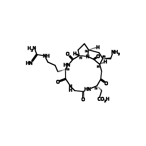 N=C(N)NCCC[C@@H]1NC(=O)[C@@H]2CC[C@H]3C[C@@H](CN)[C@@H](CC(=O)[C@H](CC(=O)O)NC(=O)CNC1=O)C(=O)N32